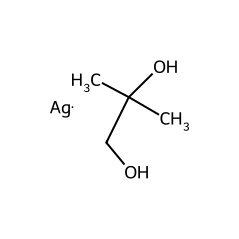 CC(C)(O)CO.[Ag]